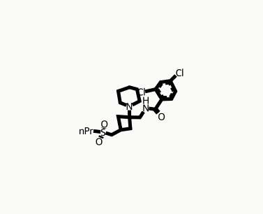 CCCS(=O)(=O)CC1CC(CNC(=O)c2ccc(Cl)cc2Cl)(N2CCCCC2)C1